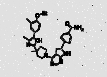 CCOc1ccc(-c2[nH]c(C3(C)CCN(c4ncnc5[nH]c(-c6ccc(C(N)=O)cc6)cc45)CC3)nc2C)cc1C